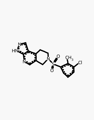 Cc1c(Cl)cccc1S(=O)(=O)N1CCc2c(cnc3[nH]ncc23)C1